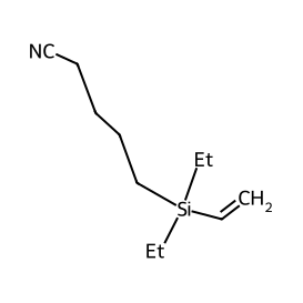 C=C[Si](CC)(CC)CCCCC#N